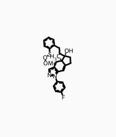 COOSc1ccccc1CC[C@]1(O)CCC2=Cc3c(cnn3-c3ccc(F)cc3)C[C@@]21C